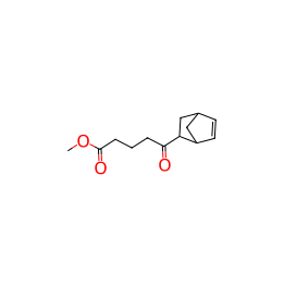 COC(=O)CCCC(=O)C1CC2C=CC1C2